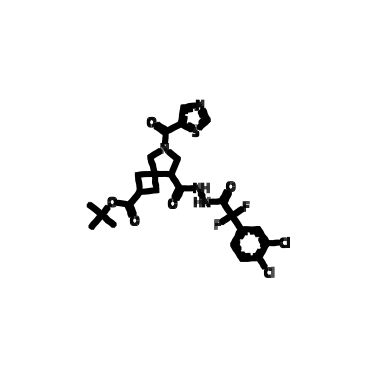 CC(C)(C)OC(=O)C1CC2(C1)CN(C(=O)c1cncs1)CC2C(=O)NNC(=O)C(F)(F)c1ccc(Cl)c(Cl)c1